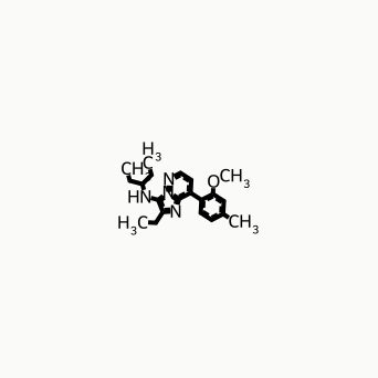 CCc1nc2c(-c3ccc(C)cc3OC)ccnn2c1NC(CC)CC